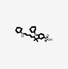 CC1(C)c2cc(S(=O)(=O)O)ccc2N(c2ccccc2)C1C=CC=CNc1ccccc1